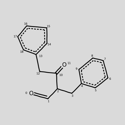 O=CC(Cc1ccccc1)C(=O)Cc1ccccc1